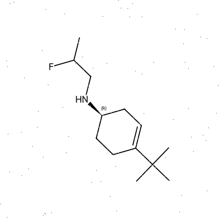 CC(F)CN[C@H]1CC=C(C(C)(C)C)CC1